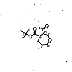 CC(C)(C)OC(=O)N1CCCOC[C@@H]1C=O